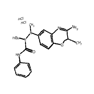 CCCCN(C(=O)Nc1ccccc1)N(C)c1ccc2c(c1)N=C(N)C(C)O2.Cl.Cl